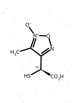 Cc1c([C@H](S)C(=O)O)no[n+]1[O-]